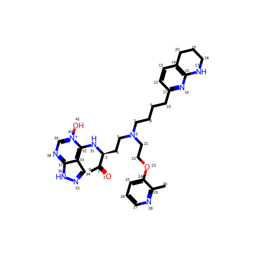 CC(=O)[C@H](CCN(CCCCc1ccc2c(n1)NCCC2)CCOc1cccnc1C)Nc1c2cn[nH]c2nc[n+]1O